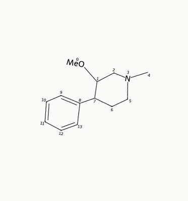 COC1CN(C)CCC1c1ccccc1